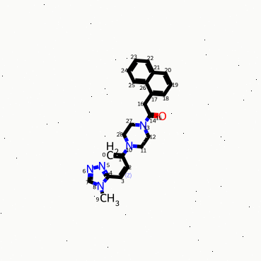 C=C(/C=C\c1nncn1C)N1CCN(C(=O)Cc2cccc3ccccc23)CC1